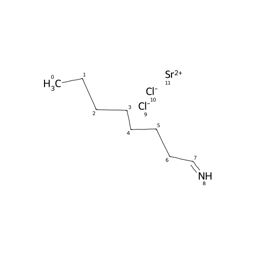 CCCCCCCC=N.[Cl-].[Cl-].[Sr+2]